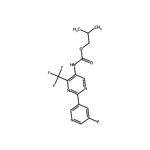 CC(C)COC(=O)Nc1cnc(-c2cncc(F)c2)nc1C(F)(F)F